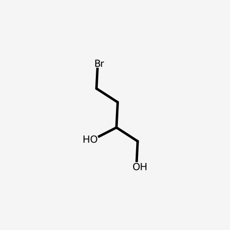 OCC(O)CCBr